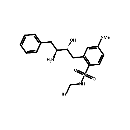 CNc1ccc(S(=O)(=O)NCC(C)C)c(C[C@@H](O)[C@@H](N)Cc2ccccc2)c1